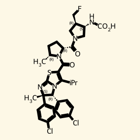 CC(C)C1=C(C(=O)N2[C@H](C)CC[C@@H]2C(=O)N2C[C@@H](CF)[C@H](NC(=O)O)C2)SC2=N[C@@](C)(c3ccc(Cl)cc3)[C@@H](c3ccc(Cl)cc3)N21